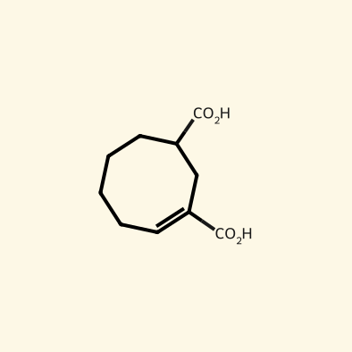 O=C(O)/C1=C/CCCCC(C(=O)O)C1